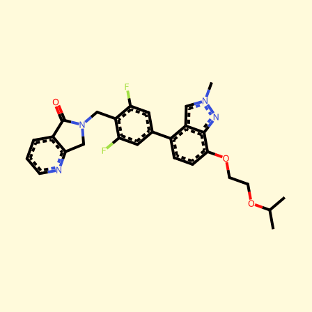 CC(C)OCCOc1ccc(-c2cc(F)c(CN3Cc4ncccc4C3=O)c(F)c2)c2cn(C)nc12